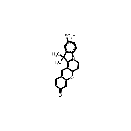 CC1(C)C2=C3C=C4C=CC(=O)C=C4OC3CCN2c2ccc(S(=O)(=O)O)cc21